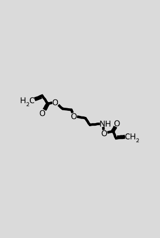 C=CC(=O)OCCOCCNOC(=O)C=C